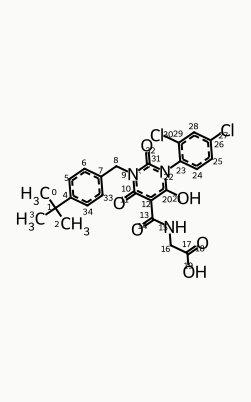 CC(C)(C)c1ccc(Cn2c(=O)c(C(=O)NCC(=O)O)c(O)n(-c3ccc(Cl)cc3Cl)c2=O)cc1